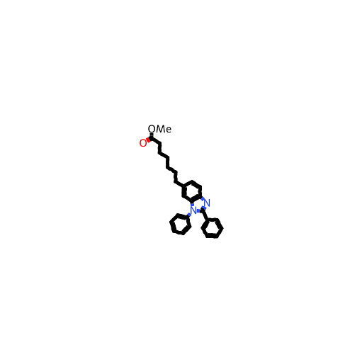 COC(=O)CCCCCCc1ccc2nc(-c3ccccc3)n(-c3ccccc3)c2c1